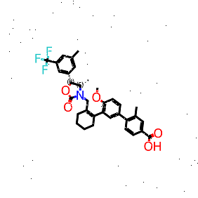 COc1ccc(-c2ccc(C(=O)O)cc2C)cc1C1=C(CN2C(=O)O[C@H](c3cc(C)cc(C(F)(F)F)c3)[C@@H]2C)CCCC1